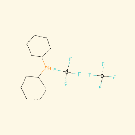 C1CCC(PC2CCCCC2)CC1.F[B-](F)(F)F.F[B-](F)(F)F